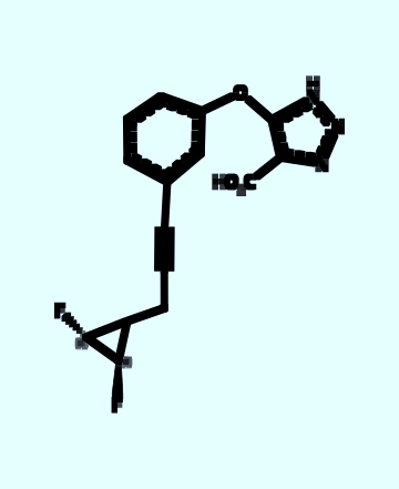 O=C(O)c1nn[nH]c1Oc1cccc(C#CCC2[C@@H](F)[C@@H]2F)c1